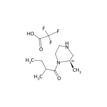 CCC(C)C(=O)N1CCNC[C@H]1C.O=C(O)C(F)(F)F